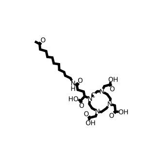 CC(=O)CCCCCCCCCCNC(=O)CCC(C(=O)O)N1CCN(CC(=O)O)CCN(CC(=O)O)CCN(CC(=O)O)CC1